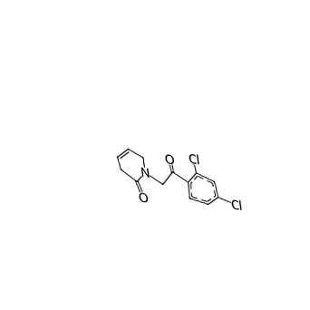 O=C(CN1CC=CCC1=O)c1ccc(Cl)cc1Cl